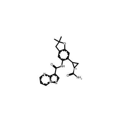 CC1(C)Cc2cc(NC(=O)c3cnn4cccnc34)c(C3C[C@H]3C(N)=O)cc2O1